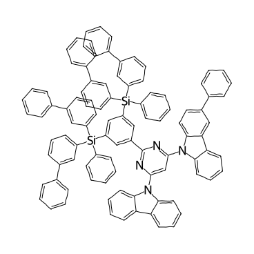 c1ccc(-c2cccc([Si](c3ccccc3)(c3cccc(-c4ccccc4)c3)c3cc(-c4nc(-n5c6ccccc6c6ccccc65)cc(-n5c6ccccc6c6cc(-c7ccccc7)ccc65)n4)cc([Si](c4ccccc4)(c4cccc(-c5ccccc5)c4)c4cccc(-c5ccccc5)c4)c3)c2)cc1